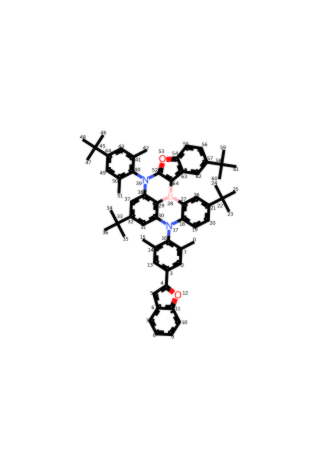 Cc1cc(-c2cc3ccccc3o2)cc(C)c1N1c2ccc(C(C)(C)C)cc2B2c3c1cc(C(C)(C)C)cc3N(c1c(C)cc(C(C)(C)C)cc1C)c1oc3ccc(C(C)(C)C)cc3c12